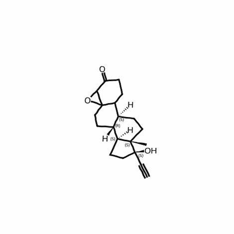 C#C[C@]1(O)CC[C@H]2[C@@H]3CCC45OC4C(=O)CCC5[C@H]3CC[C@@]21C